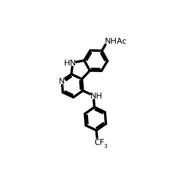 CC(=O)Nc1ccc2c(c1)[nH]c1nccc(Nc3ccc(C(F)(F)F)cc3)c12